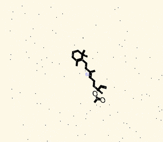 C=CC(C)(CC/C=C(\C)CCC1=C(C)CCCC1(C)C)OC(C)=O